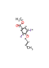 CC=CCOc1c(I)cc(C(=O)OC)cc1I